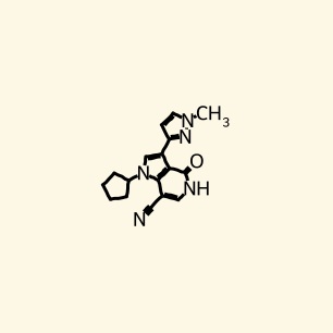 Cn1ccc(-c2cn(C3CCCC3)c3c(C#N)c[nH]c(=O)c23)n1